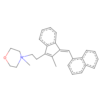 CC1=C(CC[N+]2(C)CCOCC2)c2ccccc2C1=Cc1cccc2ccccc12